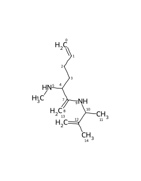 C=CCCC(NC)C(=C)NC(C)C(=C)C